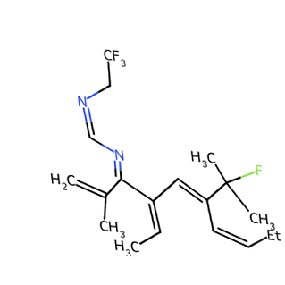 C=C(C)C(=N\C=N/CC(F)(F)F)/C(=C\C)/C=C(\C=C/CC)C(C)(C)F